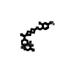 O=C1CO[C@H]2CCN(C(=O)N3CC4(CC(OCc5ccc(C(F)(F)F)cc5F)C4)C3)C[C@H]2N1